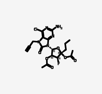 C#CCn1c(=O)n([C@@H]2O[C@](CCC)(OC(C)=O)[C@@H](F)[C@H]2OC(C)=O)c2nc(N)nc(Cl)c21